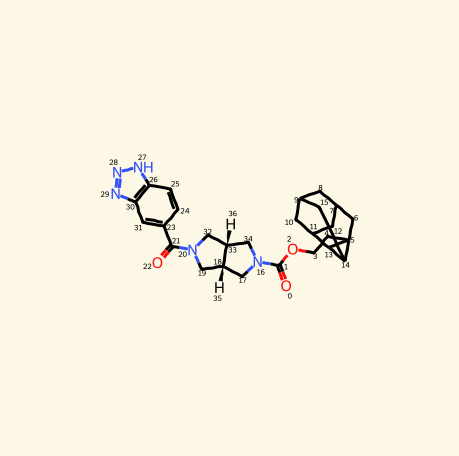 O=C(OCCC12CC3CC4CC(C3)C1C2C4)N1C[C@@H]2CN(C(=O)c3ccc4[nH]nnc4c3)C[C@@H]2C1